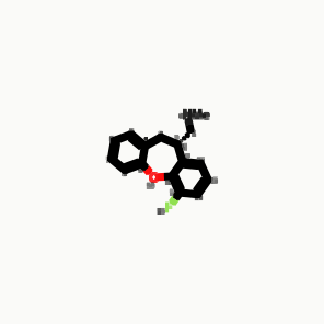 CNC[C@H]1Cc2ccccc2Oc2c(F)cccc21